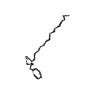 CCCCCCCCCCCCCCCC(Cl)[N+](C)(CC)Cc1ccccc1